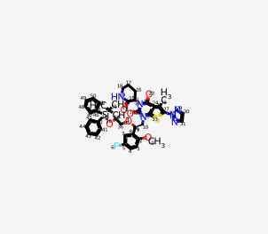 COc1ccc(F)cc1[C@H](Cn1c(=O)n([C@H]2CCCNC2=O)c(=O)c2c(C)c(-n3nccn3)sc21)OCCO[Si](c1ccccc1)(c1ccccc1)C(C)(C)C